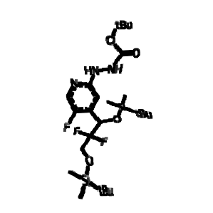 CC(C)(C)OC(=O)NNc1cc(C(O[Si](C)(C)C(C)(C)C)C(F)(F)CO[Si](C)(C)C(C)(C)C)c(F)cn1